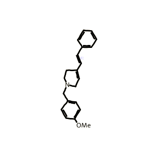 COc1ccc(CN2CC=C(/C=C/c3ccccc3)CC2)cc1